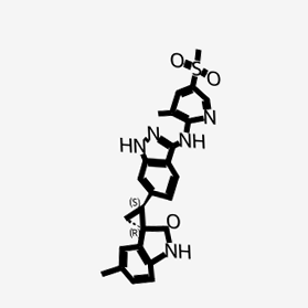 Cc1ccc2c(c1)[C@]1(C[C@H]1c1ccc3c(Nc4ncc(S(C)(=O)=O)cc4C)n[nH]c3c1)C(=O)N2